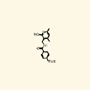 CCCC(C)c1ccc(C(=O)NCc2c(C)cc(C)nc2O)cc1